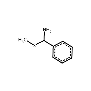 CS[C](N)c1ccccc1